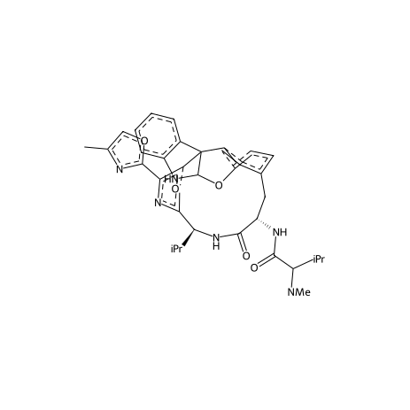 CNC(C(=O)N[C@H]1Cc2ccc3c(c2)C2(c4ccccc4NC2O3)c2oc(nc2-c2nc(C)co2)[C@H](C(C)C)NC1=O)C(C)C